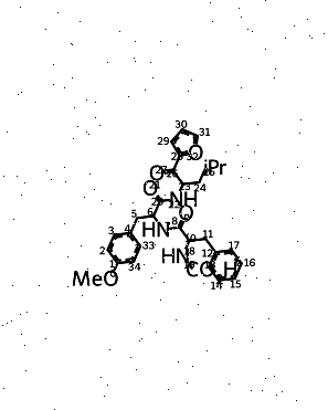 COc1ccc(CC(NC(=O)C(Cc2ccccc2)NC(=O)O)C(=O)NC(CC(C)C)C(=O)c2ccco2)cc1